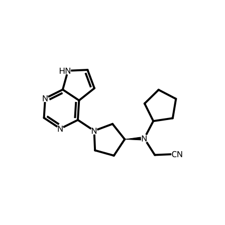 N#CCN(C1CCCC1)[C@H]1CCN(c2ncnc3[nH]ccc23)C1